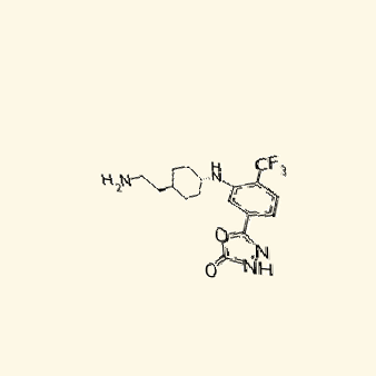 NCC[C@H]1CC[C@H](Nc2cc(-c3n[nH]c(=O)o3)ccc2C(F)(F)F)CC1